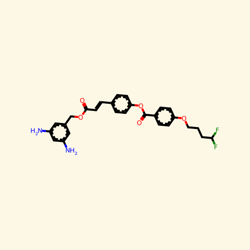 Nc1cc(N)cc(COC(=O)/C=C/c2ccc(OC(=O)c3ccc(OCCCC(F)F)cc3)cc2)c1